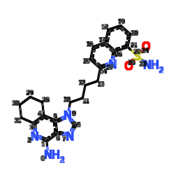 Nc1nc2c(c3c1ncn3CCCCc1ccc3cccc(S(N)(=O)=O)c3n1)CCCC2